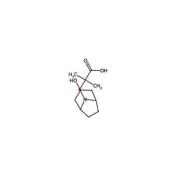 CC(C)(CN1C2CCC1CC(O)C2)C(=O)O